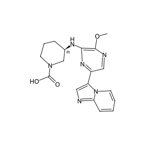 COc1ncc(-c2cnc3ccccn23)nc1N[C@@H]1CCCN(C(=O)O)C1